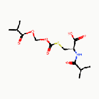 CC(C)C(=O)N[C@@H](CSC(=O)OCOC(=O)C(C)C)C(=O)O